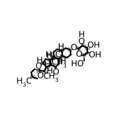 C[C@@H]1CC[C@@]2(OC1)O[C@H]1C[C@H]3[C@@H]4CC[C@H]5C[C@@H](O[C@@H]6O[C@H](CO)[C@H](O)[C@H](O)[C@H]6O)CC[C@]5(C)[C@H]4CC(=O)[C@]3(C)[C@H]1[C@@H]2C